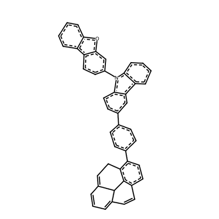 C1=CC2=CCc3c(-c4ccc(-c5ccc6c(c5)c5ccccc5n6-c5ccc6c(c5)oc5ccccc56)cc4)ccc4c3C2C(=C1)C=C4